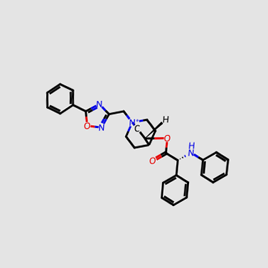 O=C(O[C@H]1C[N+]2(Cc3noc(-c4ccccc4)n3)CCC1CC2)[C@H](Nc1ccccc1)c1ccccc1